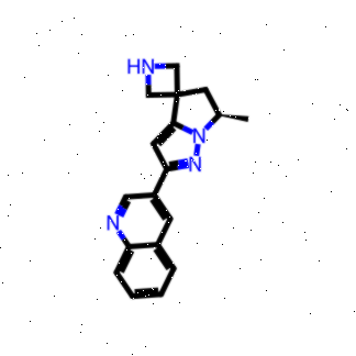 C[C@@H]1CC2(CNC2)c2cc(-c3cnc4ccccc4c3)nn21